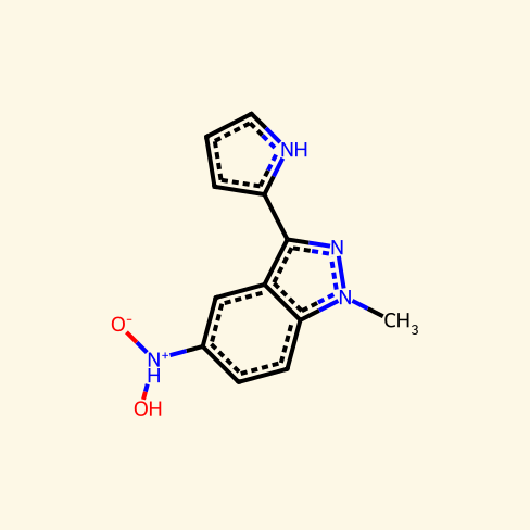 Cn1nc(-c2ccc[nH]2)c2cc([NH+]([O-])O)ccc21